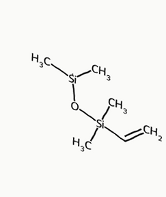 C=C[Si](C)(C)O[Si](C)C